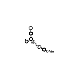 COc1ccc(N2CCN(CCNCc3cc(-c4ccc(C5CCCCC5)cc4)cc(-n4cccn4)c3)CC2)cc1